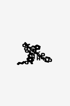 CCCCOc1cc(C[C@H](NC(=O)[C@H](C)NC(=O)CN2CCOCC2)C(=O)N[C@@H](CC2CCCC2)C(=O)[C@@]2(C)CO2)ccc1C